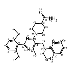 CCc1cccc(CC)c1-c1nc(C)c(CN2CCOc3ccc(C)nc32)c(N2CCC(C(N)=O)CC2)n1